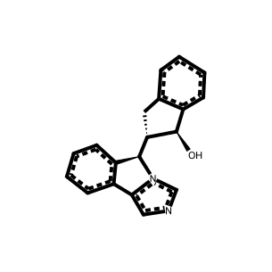 O[C@@H]1c2ccccc2C[C@H]1[C@@H]1c2ccccc2-c2cncn21